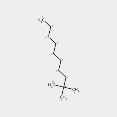 CCSCCCCCC(C)(C)C